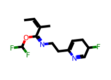 C/C=C(C)\C(=N/CCC1=CCC(F)C=N1)OC(F)F